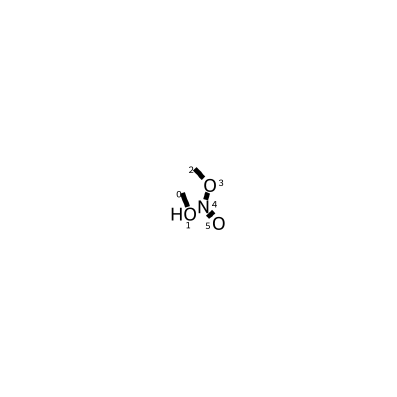 CO.CON=O